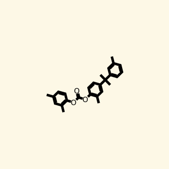 Cc1cccc(C(C)(C)c2ccc(OC(=O)Oc3ccc(C)cc3C)c(C)c2)c1